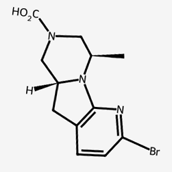 C[C@@H]1CN(C(=O)O)C[C@H]2Cc3ccc(Br)nc3N21